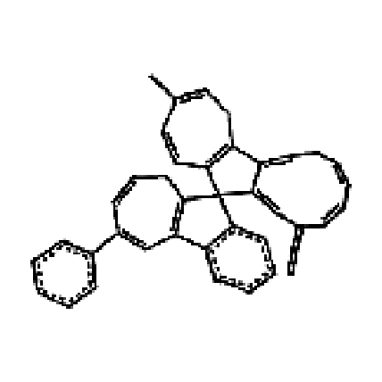 C=C1/C=C\C=C/C/C=C2/C3=C(C=CC(C)=CC3)C3(C4=C(C=C(c5ccccc5)C=CC4)c4ccccc43)/C2=C/1